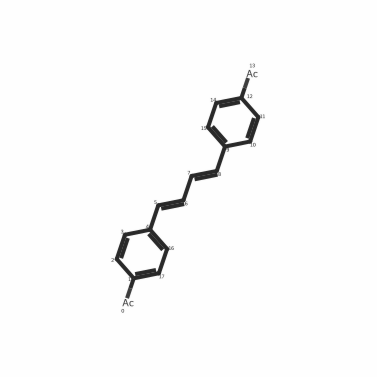 CC(=O)c1ccc(C=CC=Cc2ccc(C(C)=O)cc2)cc1